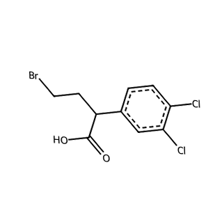 O=C(O)C(CCBr)c1ccc(Cl)c(Cl)c1